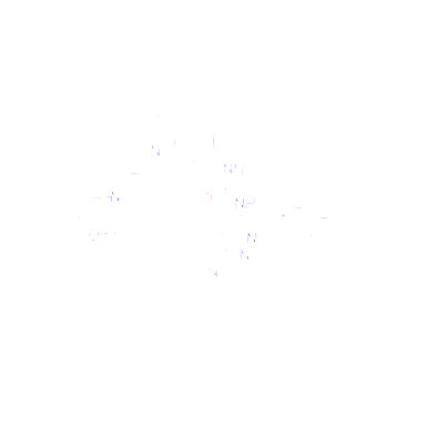 Cc1ccc(-n2nc([Si](C)(C)C)cc2NC(=O)Nc2ccc3ccn(CCN4CCOCC4)c3c2)cc1